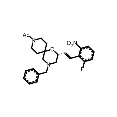 CC(=O)N1CCC2(CC1)CN(Cc1ccccc1)C[C@@H](C=Cc1c(F)cccc1[N+](=O)[O-])O2